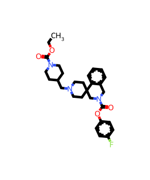 CCOC(=O)N1CCC(CN2CCC3(CC2)CN(C(=O)Oc2ccc(F)cc2)Cc2ccccc23)CC1